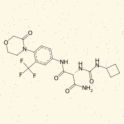 NC(=O)[C@@H](NC(=O)NC1CCC1)C(=O)Nc1ccc(N2CCOCC2=O)c(C(F)(F)F)c1